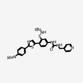 CNc1ccc(-c2ncc(-c3ccc(NC(=O)NCc4ccncc4)cc3SNC(C)(C)C)s2)cc1